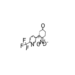 O=C1CC[C@H]([N+](=O)[O-])[C@@H](c2ccc(C(F)(F)F)nc2)C1